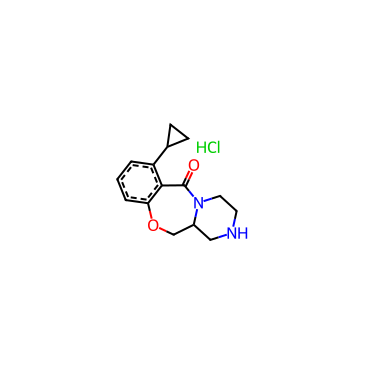 Cl.O=C1c2c(cccc2C2CC2)OCC2CNCCN12